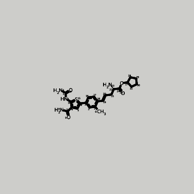 Cc1cc(-c2cc(C(N)=O)c(NC(N)=O)s2)ccc1C=CC[C@H](N)C(=O)OC1CCCC1